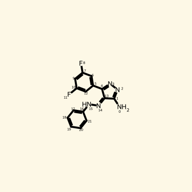 NC1=NN=C(c2cc(F)cc(F)c2)/C1=N\Nc1ccccc1